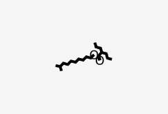 CCCC(CCC)C(=O)OCCCCCCCCC(C)C